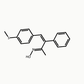 CSc1ccc(C=C(C(C)=NO)c2ccccc2)cc1